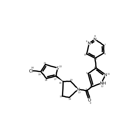 O=C(c1cc(-c2ccnnc2)n[nH]1)N1CC[C@@H](c2cc(Cl)cs2)C1